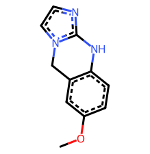 COc1ccc2c(c1)Cn1ccnc1N2